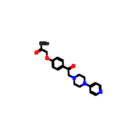 COC(=O)COc1ccc(C(=O)CN2CCN(c3ccncc3)CC2)cc1